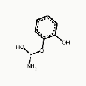 NP(O)Oc1ccccc1O